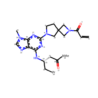 C=CC(=O)N1CC2(CCN(c3nc(N[C@H](CC(=O)NC)CC(C)C)c4ncn(C)c4n3)C2)C1